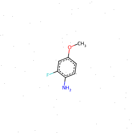 COc1c[c]c(N)c(F)c1